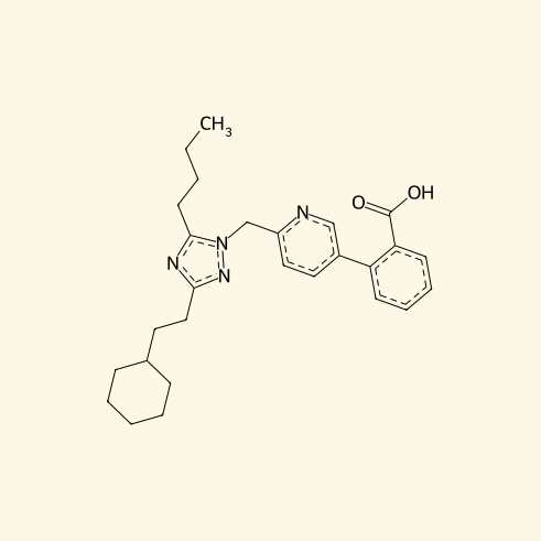 CCCCc1nc(CCC2CCCCC2)nn1Cc1ccc(-c2ccccc2C(=O)O)cn1